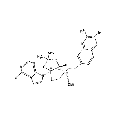 COC[C@]1(CCc2ccc3cc(Br)c(N)nc3c2)CC[C@@]2(n3ccc4c(Cl)ncnc43)OC(C)(C)O[C@H]12